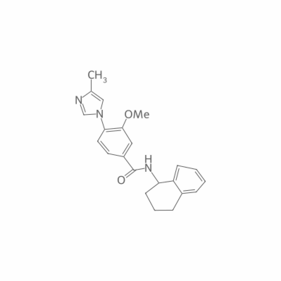 COc1cc(C(=O)NC2CCCc3ccccc32)ccc1-n1cnc(C)c1